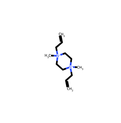 C=CC[N+]1(C)CC[N+](C)(CC=C)CC1